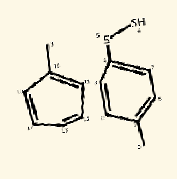 Cc1ccc(SS)cc1.Cc1ccccc1